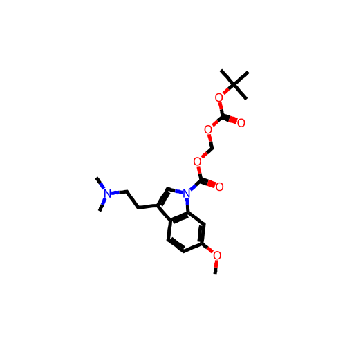 COc1ccc2c(CCN(C)C)cn(C(=O)OCOC(=O)OC(C)(C)C)c2c1